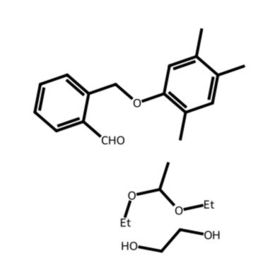 CCOC(C)OCC.Cc1cc(C)c(OCc2ccccc2C=O)cc1C.OCCO